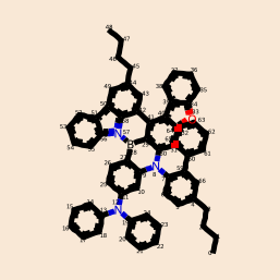 CCCCc1ccc(N2c3cc(N(c4ccccc4)c4ccccc4)ccc3B3c4c2cc2oc5ccccc5c2c4-c2cc(CCCC)cc4c5ccccc5n3c24)c(-c2ccccc2)c1